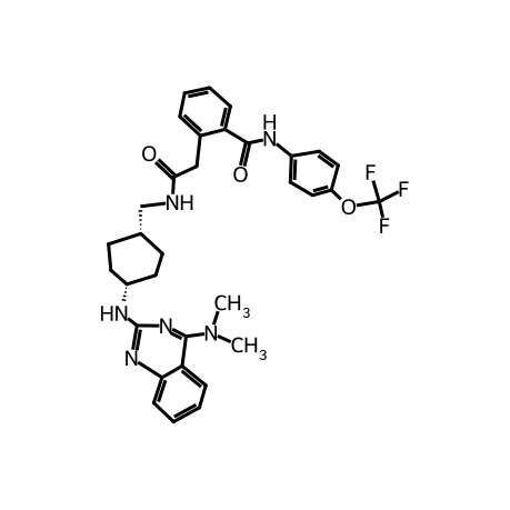 CN(C)c1nc(N[C@H]2CC[C@@H](CNC(=O)Cc3ccccc3C(=O)Nc3ccc(OC(F)(F)F)cc3)CC2)nc2ccccc12